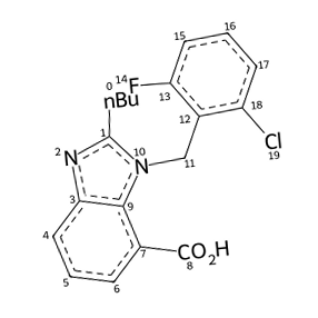 CCCCc1nc2cccc(C(=O)O)c2n1Cc1c(F)cccc1Cl